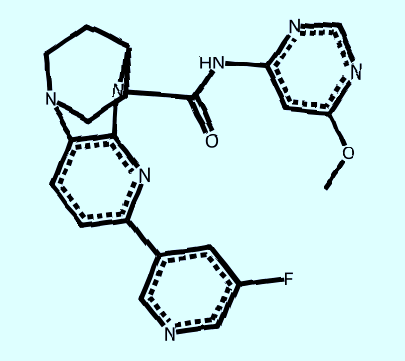 COc1cc(NC(=O)N2c3nc(-c4cncc(F)c4)ccc3N3CCC2CC3)ncn1